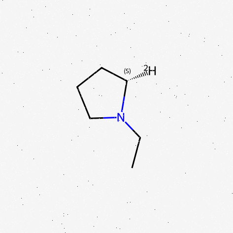 [2H][C@H]1CCCN1CC